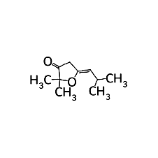 CC(C)C=C1CC(=O)C(C)(C)O1